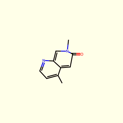 Cc1ccnc2cn(C)c(=O)cc12